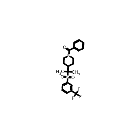 CC(C)(C1CCN(C(=O)c2ccccc2)CC1)S(=O)(=O)c1cccc(C(F)(F)F)c1